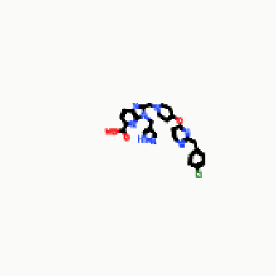 O=C(O)c1ccc2nc(CN3CCC(Oc4ccnc(Cc5ccc(Cl)cc5)n4)CC3)n(Cc3cn[nH]c3)c2n1